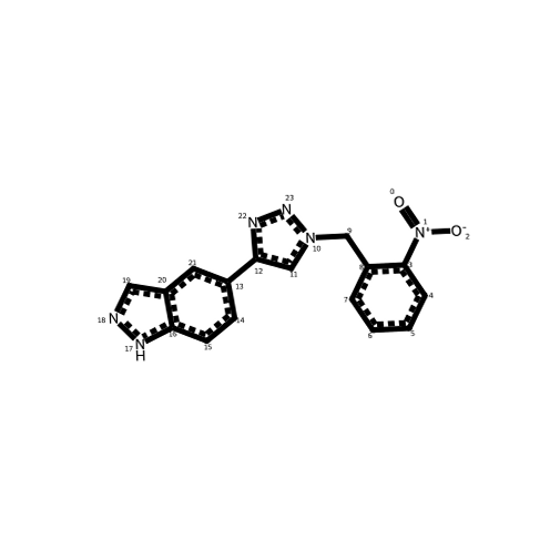 O=[N+]([O-])c1ccccc1Cn1cc(-c2ccc3[nH]ncc3c2)nn1